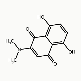 CN(C)C1=CC(=O)c2c(O)ccc(O)c2C1=O